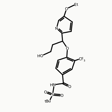 CCOc1ccc(C(CCO)Oc2ccc(C(=O)NS(=O)(=O)C(C)(C)C)cc2C(F)(F)F)nc1